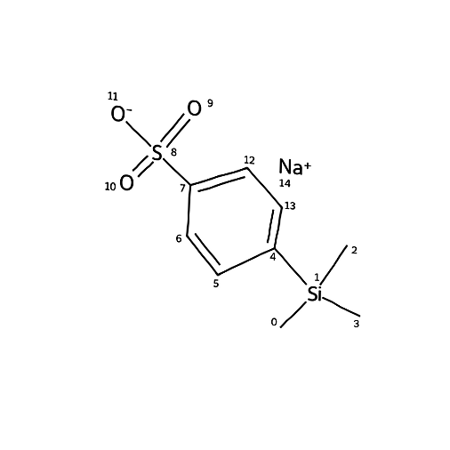 C[Si](C)(C)c1ccc(S(=O)(=O)[O-])cc1.[Na+]